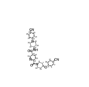 N#Cc1ccc(OC2CCN(C(=O)c3ccc(C(=O)NC4CCN(c5ccc(C#N)cc5)CC4)cn3)CC2)cc1